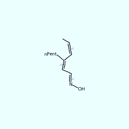 C\C=C/C(=C\C=N\O)CCCCC